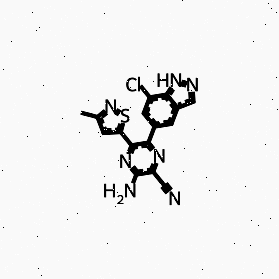 Cc1cc(-c2nc(N)c(C#N)nc2-c2cc(Cl)c3[nH]ncc3c2)sn1